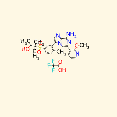 COc1ncccc1-c1cn2c(-c3cc(S(=O)(=O)C(C)(C)C(C)O)ccc3C)cnc2c(N)n1.O=C(O)C(F)(F)F